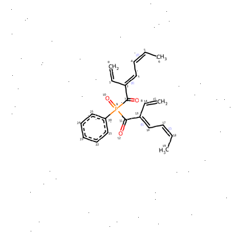 C=C/C(=C\C=C/C)C(=O)P(=O)(C(=O)/C(C=C)=C/C=C\C)c1ccccc1